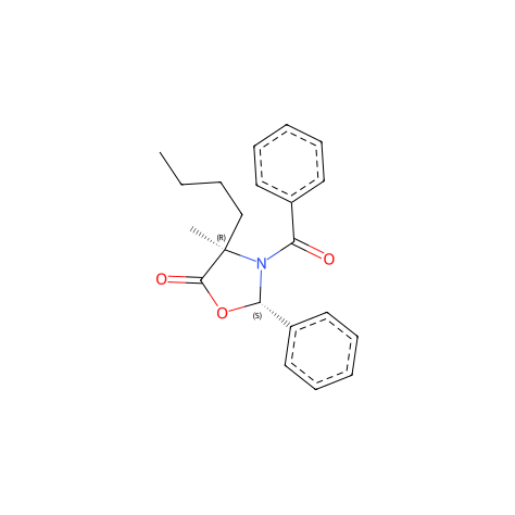 CCCC[C@]1(C)C(=O)O[C@@H](c2ccccc2)N1C(=O)c1ccccc1